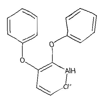 C1=CC(Oc2ccccc2)=[C](Oc2ccccc2)[AlH][Cl+]1